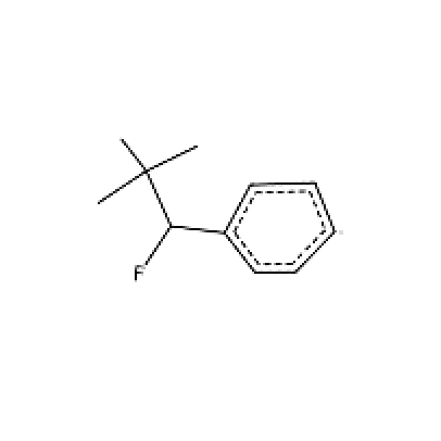 CC(C)(C)C(F)c1cc[c]cc1